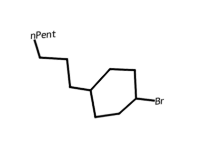 CCCCCCCCC1CCC(Br)CC1